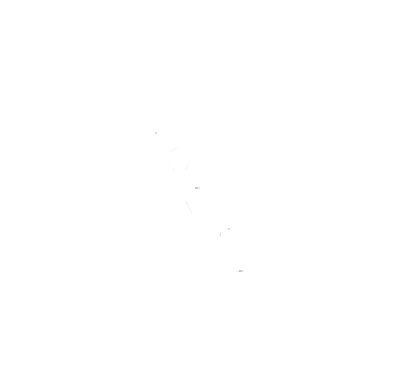 COc1ccc2cc(-c3ccc(/C=C/c4ccccc4)cc3)oc2c1